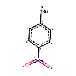 CC(C)(C)c1ccc(I(=O)=O)cc1